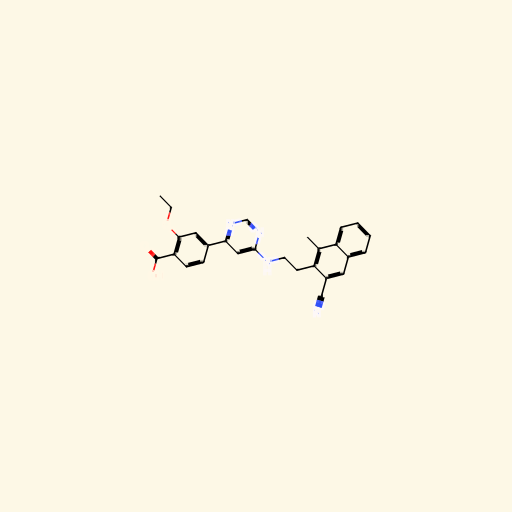 CCOc1cc(-c2cc(NCCc3c(C#N)cc4ccccc4c3C)ncn2)ccc1C(=O)O